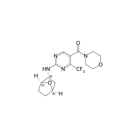 O=C(c1cnc(N[C@@H]2C[C@H]3CC[C@@H]2O3)nc1C(F)(F)F)N1CCOCC1